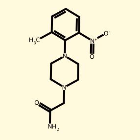 Cc1cccc([N+](=O)[O-])c1N1CCN(CC(N)=O)CC1